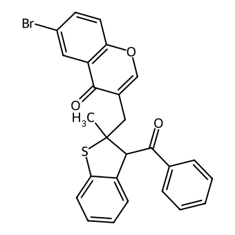 CC1(Cc2coc3ccc(Br)cc3c2=O)Sc2ccccc2C1C(=O)c1ccccc1